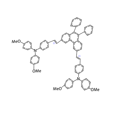 COc1ccc(N(c2ccc(/C=C/c3ccc4c(-c5ccccc5)c(-c5ccccc5)c5ccc(/C=C/c6ccc(N(c7ccc(OC)cc7)c7ccc(OC)cc7)cc6)cc5c4c3)cc2)c2ccc(OC)cc2)cc1